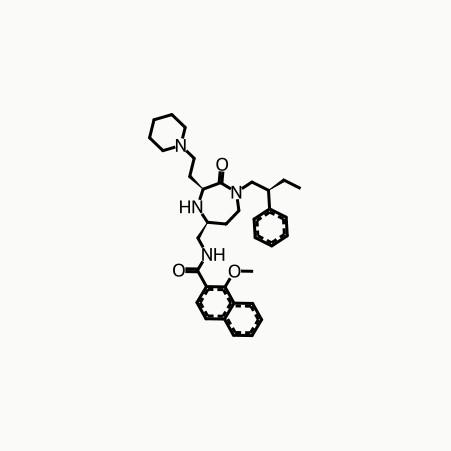 CC[C@H](CN1CC[C@@H](CNC(=O)c2ccc3ccccc3c2OC)N[C@@H](CCN2CCCCC2)C1=O)c1ccccc1